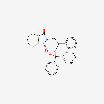 O=C1C2CCCCC2C(=O)N1CC(c1ccccc1)C1OC1(c1ccccc1)c1ccccc1